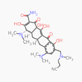 CN(CCC#N)Cc1cc(N(C)C)c2c(c1O)C(=O)C1=C(O)[C@]3(O)C(=O)C(C(N)=O)=C(O)[C@@H](N(C)C)[C@@H]3C[C@@H]1C2